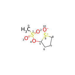 CS(=O)(=O)OC1CCC[S+]1[O-]